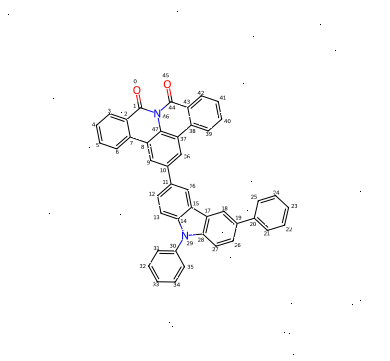 O=c1c2ccccc2c2cc(-c3ccc4c(c3)c3cc(-c5ccccc5)ccc3n4-c3ccccc3)cc3c4ccccc4c(=O)n1c23